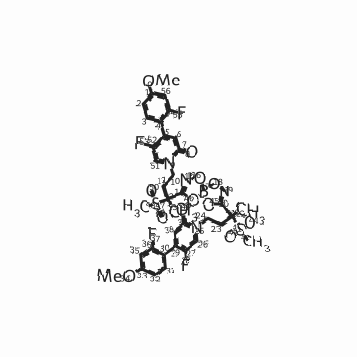 COc1ccc(-c2cc(=O)n(CCC(C)(C3=NO[B-]4(ON=C(C(C)(CCn5cc(F)c(-c6ccc(OC)cc6F)cc5=O)S(C)(=O)=O)O4)O3)S(C)(=O)=O)cc2F)c(F)c1